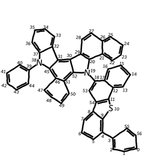 c1ccc(-c2cccc3c2sc2c4ccccc4c(-n4c5c6ccccc6ccc5c5c6c7ccccc7n(-c7ccccc7)c6c6ccccc6c54)cc32)cc1